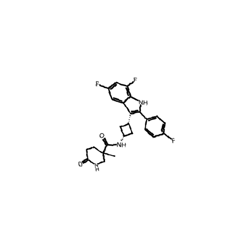 CC1(C(=O)N[C@H]2C[C@@H](c3c(-c4ccc(F)cc4)[nH]c4c(F)cc(F)cc43)C2)CCC(=O)NC1